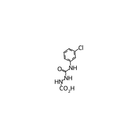 O=C(O)NNC(=O)Nc1cccc(Cl)c1